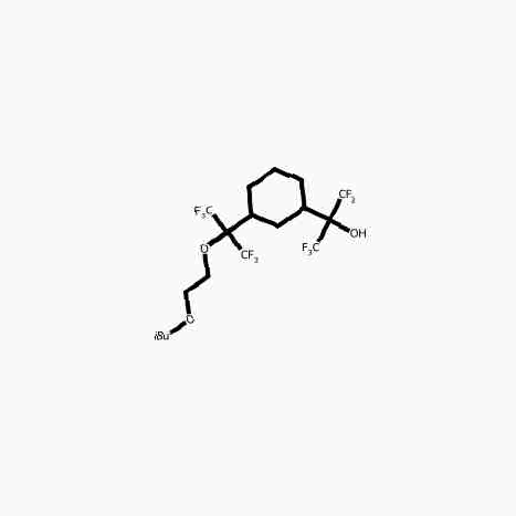 CCC(C)OCCOC(C1CCCC(C(O)(C(F)(F)F)C(F)(F)F)C1)(C(F)(F)F)C(F)(F)F